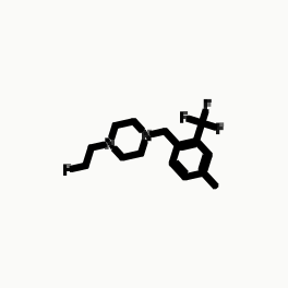 Cc1ccc(CN2CCN(CCF)CC2)c(C(F)(F)F)c1